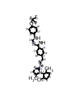 Cc1cccc(Cl)c1-n1c(C)cs/c1=N\N=C\c1ccc(C(=N)/N=C\Nc2ccc(OC(F)(F)F)cc2)cc1